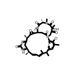 C/C1=C\C=C\[C@@H](C)[C@@]2(O)C[C@H](OC(=O)N2)[C@@H](C)C2O[C@@]2(C)[C@@H]2CC(=O)N(CC(=O)C(C)(O)C(=O)N(C)[C@@H](C)C(=O)O2)c2cc(cc(C)c2Cl)C1C